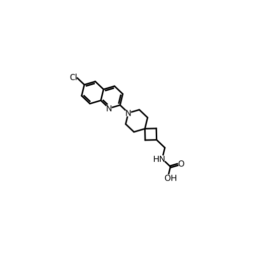 O=C(O)NCC1CC2(CCN(c3ccc4cc(Cl)ccc4n3)CC2)C1